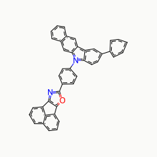 c1ccc(-c2ccc3c(c2)c2cc4ccccc4cc2n3-c2ccc(-c3nc4c(o3)-c3cccc5cccc-4c35)cc2)cc1